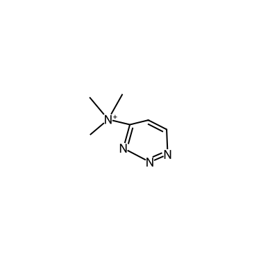 C[N+](C)(C)c1ccnnn1